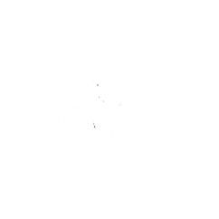 CCc1cccc(C[C@@H](B(O)O)N([Si](C)(C)C)[Si](C)(C)C)c1